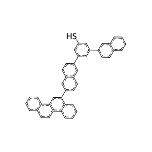 Sc1cc(-c2ccc3ccccc3c2)cc(-c2ccc3cc(-c4cc5c6ccccc6ccc5c5ccccc45)ccc3c2)c1